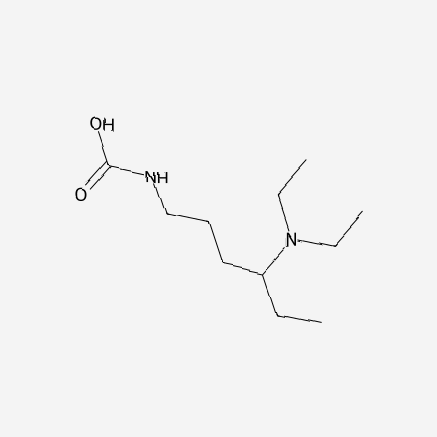 CCC(CCCNC(=O)O)N(CC)CC